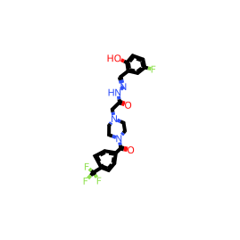 O=C(CN1CCN(C(=O)c2ccc(C(F)(F)F)cc2)CC1)NN=Cc1cc(F)ccc1O